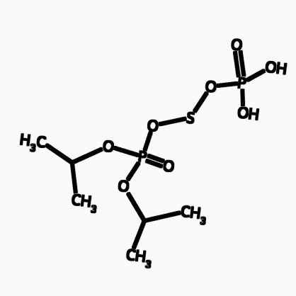 CC(C)OP(=O)(OSOP(=O)(O)O)OC(C)C